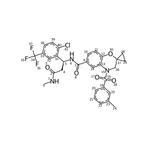 CNC(=O)C[C@H](NC(=O)c1ccc2c(c1)N(S(=O)(=O)c1cccc(C)c1)CC1(CC1)O2)c1cc(C(F)(F)F)ccc1Cl